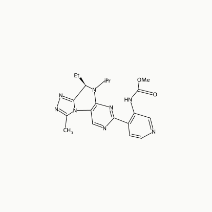 CC[C@@H]1c2nnc(C)n2-c2cnc(-c3ccncc3NC(=O)OC)nc2N1C(C)C